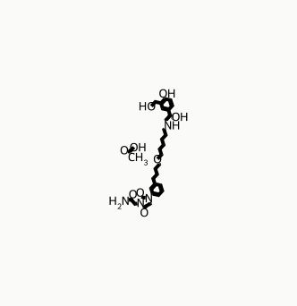 CC(=O)O.NC(=O)CN1C(=O)CN(c2cccc(CCCCOCCCCCCNC[C@H](O)c3ccc(O)c(CO)c3)c2)C1=O